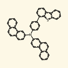 c1ccc2c(c1)ccc1cc(N(c3ccc(-c4cccc5c4sc4ccccc45)cc3)c3ccc4ccc5ccccc5c4c3)ccc12